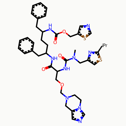 CC(C)c1nc(CN(C)C(=O)NC(COCN2CCn3cncc3C2)C(=O)NC(CCC(Cc2ccccc2)NC(=O)OCc2cncs2)Cc2ccccc2)cs1